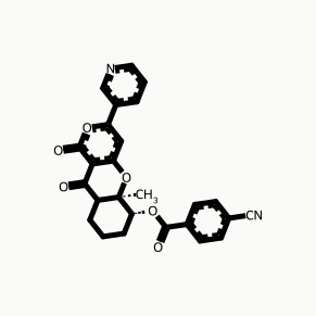 C[C@@]12Oc3cc(-c4cccnc4)oc(=O)c3C(=O)C1CCC[C@H]2OC(=O)c1ccc(C#N)cc1